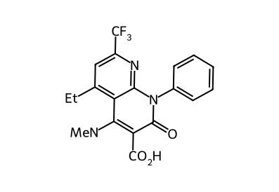 CCc1cc(C(F)(F)F)nc2c1c(NC)c(C(=O)O)c(=O)n2-c1ccccc1